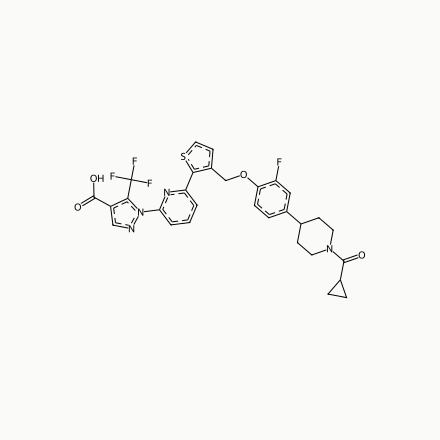 O=C(O)c1cnn(-c2cccc(-c3sccc3COc3ccc(C4CCN(C(=O)C5CC5)CC4)cc3F)n2)c1C(F)(F)F